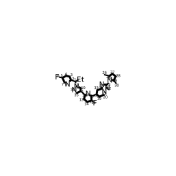 CCC(c1ccc(F)cn1)n1cc(-c2ccc(F)c(-c3ccn4nc(-n5c(C)ccc5C)nc4c3)n2)cn1